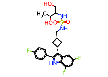 C[C@H](O)C(CO)NS(=O)(=O)NC[C@H]1C[C@H](c2c(-c3ccc(F)cc3)[nH]c3c(F)cc(F)cc32)C1